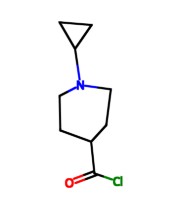 O=C(Cl)C1CCN(C2CC2)CC1